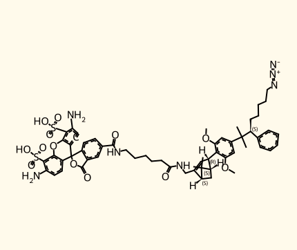 COc1cc(C(C)(C)[C@@H](CCCCCN=[N+]=[N-])c2ccccc2)cc(OC)c1[C@H]1C=C(CNC(=O)CCCCCNC(=O)c2ccc3c(c2)C(=O)OC32c3ccc(N)c(S(=O)(=O)O)c3Oc3c2ccc(N)c3S(=O)(=O)O)[C@H]2C[C@@H]1C2(C)C